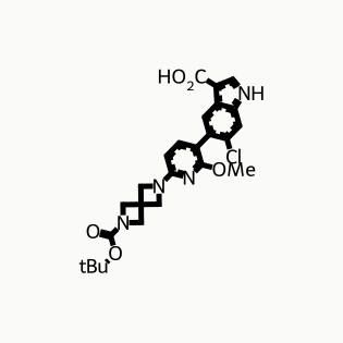 COc1nc(N2CC3(CN(C(=O)OC(C)(C)C)C3)C2)ccc1-c1cc2c(C(=O)O)c[nH]c2cc1Cl